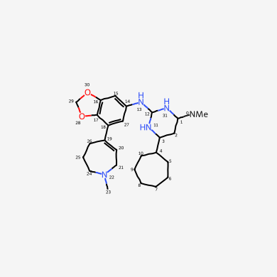 CNC1CC(C2CCCCCC2)NC(Nc2cc3c(c(C4=CCN(C)CCC4)c2)OCO3)N1